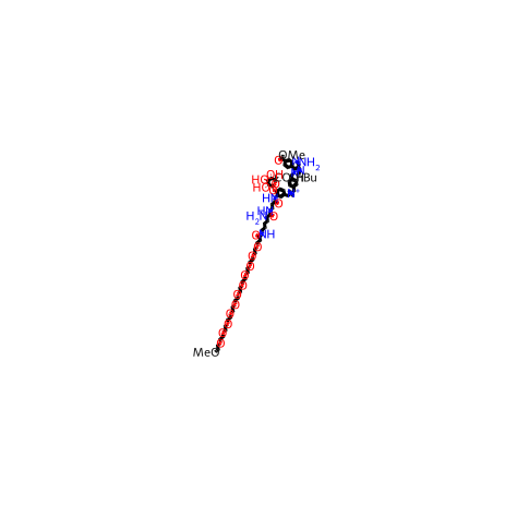 CCCCc1nc2c(N)nc3cc(C(=O)OC)ccc3c2n1Cc1ccc(C[N+](C)(C)Cc2ccc(O[C@@H]3O[C@H](C(=O)O)[C@@H](O)[C@H](O)[C@H]3O)c(NC(=O)CCNC(=O)[C@@H](N)CCCCNC(=O)CCOCCOCCOCCOCCOCCOCCOCCOCCOCCOCCOCCOC)c2)cc1